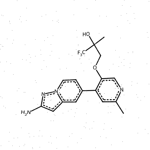 Cc1cc(-c2ccn3nc(N)cc3c2)c(OCC(C)(O)C(F)(F)F)cn1